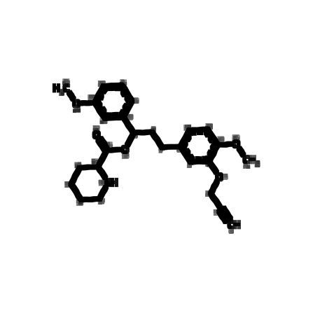 C#CCOc1cc(CCC(OC(=O)C2CCCCN2)c2cccc(OC)c2)ccc1OC